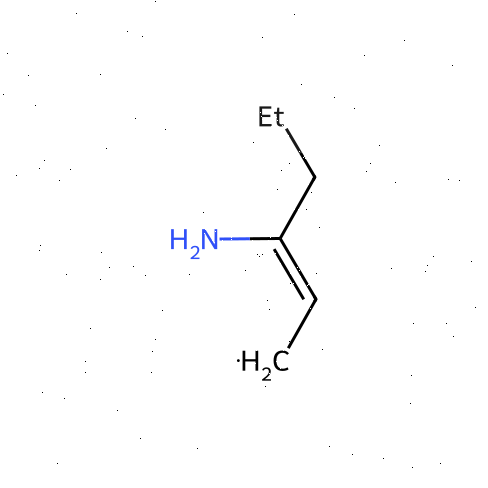 [CH2]C=C(N)CCC